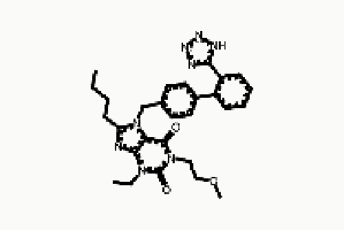 CCCCc1nc2c(c(=O)n(CCOC)c(=O)n2CC)n1Cc1ccc(-c2ccccc2-c2nnn[nH]2)cc1